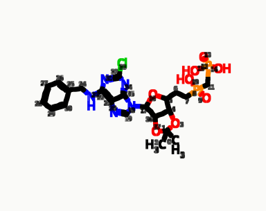 CC1(C)OC2C(CCP(=O)(O)CP(=O)(O)O)OC(n3cnc4c(NCc5ccccc5)nc(Cl)nc43)C2O1